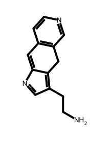 NCCC1=C2Cc3cnccc3C=C2N=C1